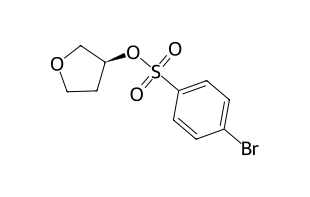 O=S(=O)(O[C@H]1CCOC1)c1ccc(Br)cc1